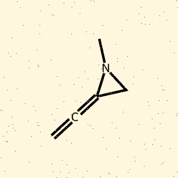 C=C=C1CN1C